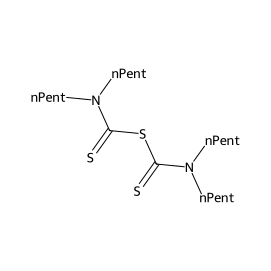 CCCCCN(CCCCC)C(=S)SC(=S)N(CCCCC)CCCCC